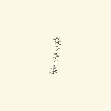 O=C(O)C(I)CCCCCCCCCCCCCc1ccccc1